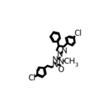 Cn1c(N2CC(c3ccccc3)C(c3ccc(Cl)cc3)=N2)nn(CCc2ccc(Cl)cc2)c1=O